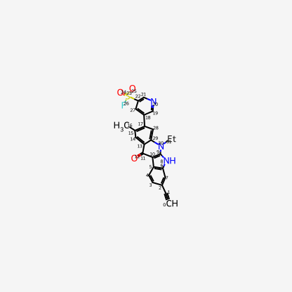 C#Cc1ccc2c(c1)[nH]c1c2c(=O)c2cc(C)c(-c3cncc(S(=O)(=O)F)c3)cc2n1CC